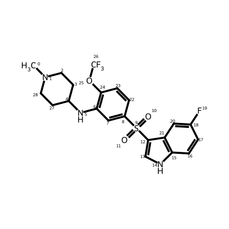 CN1CCC(Nc2cc(S(=O)(=O)c3c[nH]c4ccc(F)cc34)ccc2OC(F)(F)F)CC1